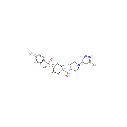 O=C(N1CCN(c2cc(Cl)ncn2)CC1)N1CCN(S(=O)(=O)c2ccc(Br)cc2)CC1